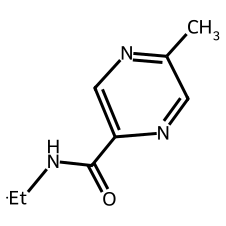 C[CH]NC(=O)c1cnc(C)cn1